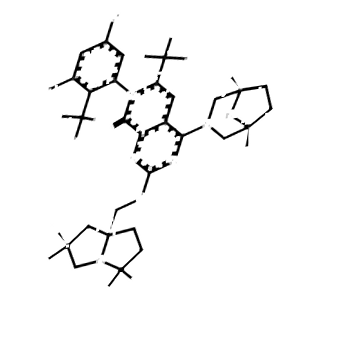 [2H]C1([2H])CC[C@@]2(COc3nc(N4C[C@H]5CC[C@@H](C4)N5)c4cc(C(F)(F)F)n(-c5cc(O)cc(Cl)c5C(F)(F)F)c(=O)c4n3)C[C@@]([2H])(F)CN12